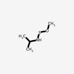 COSNC(C)C